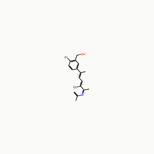 C=C(C)\N=C(C)/C(=C/C=C(\C)c1ccc(CC)c(CO)c1)CC